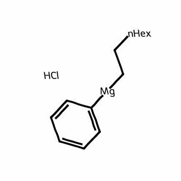 CCCCCCC[CH2][Mg][c]1ccccc1.Cl